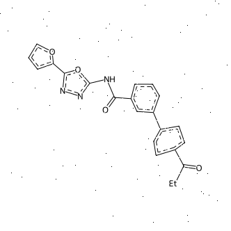 CCC(=O)c1ccc(-c2cccc(C(=O)Nc3nnc(-c4ccco4)o3)c2)cc1